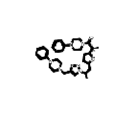 CC(CC1CCC([C@H](C)C(=O)N2CCN(c3ccccc3)CC2)O1)n1cc(CN2CCN(c3ccccc3)CC2)nn1